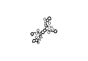 Cc1cc(N=c2c(=O)c3ccccc3c2=O)sc1C1=CC2C=c3c(c4sc(N=c5c(=O)c6ccccc6c5=O)cc4n3C(=O)OCc3ccccc3)=CC2C=C1CC(=O)OCc1ccccc1